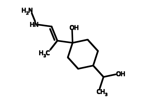 C/C(=C\NN)C1(O)CCC(C(C)O)CC1